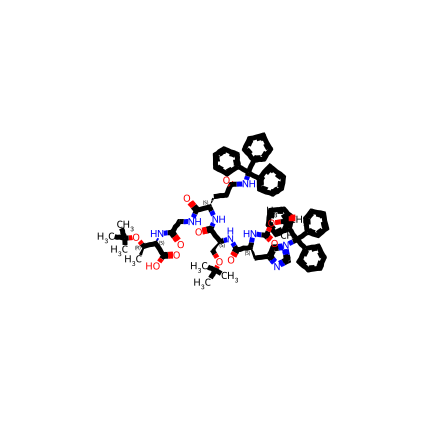 C[C@@H](OC(C)(C)C)[C@H](NC(=O)CNC(=O)[C@H](CCC(=O)NC(c1ccccc1)(c1ccccc1)c1ccccc1)NC(=O)[C@H](COC(C)(C)C)NC(=O)[C@H](Cc1cn(C(c2ccccc2)(c2ccccc2)c2ccccc2)cn1)NC(=O)OC(C)(C)C)C(=O)O